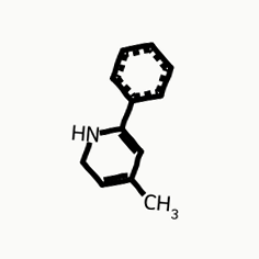 CC1=CCNC(c2ccccc2)=C1